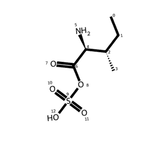 CC[C@H](C)[C@H](N)C(=O)OS(=O)(=O)O